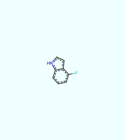 Fc1cccc2[nH][c]cc12